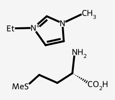 CC[n+]1ccn(C)c1.CSCC[C@H](N)C(=O)O